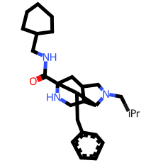 CC(C)CN1CC2CC3(C(=O)NCC4CCCCC4)NCC2C1C3Cc1ccccc1